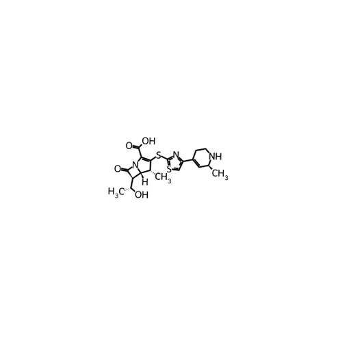 C[C@H]1C=C(c2csc(SC3=C(C(=O)O)N4C(=O)[C@H]([C@@H](C)O)[C@H]4[C@H]3C)n2)CCN1